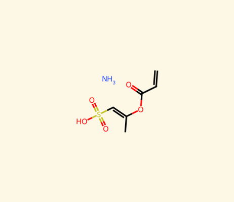 C=CC(=O)OC(C)=CS(=O)(=O)O.N